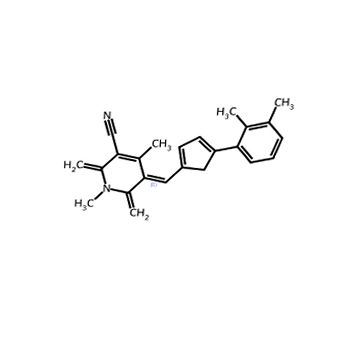 C=C1C(C#N)=C(C)/C(=C\C2=CC=C(c3cccc(C)c3C)C2)C(=C)N1C